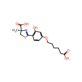 C[C@]1(C(=O)O)CSC(c2ccc(OCCCCCC(=O)O)cc2O)=N1